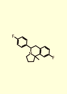 CC12CCCN1C(c1ccc(F)cc1)Cc1ccc(F)cc12